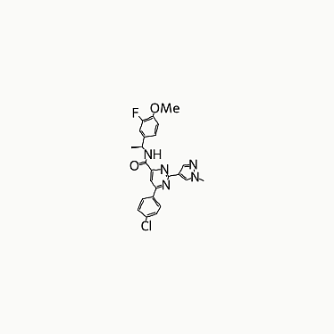 COc1ccc([C@H](C)NC(=O)c2cc(-c3ccc(Cl)cc3)nc(-c3cnn(C)c3)n2)cc1F